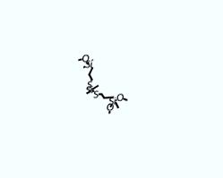 CO[Si](C)(C)CCCS[Si](C)(C)SCCC[Si](C)(OC)OC